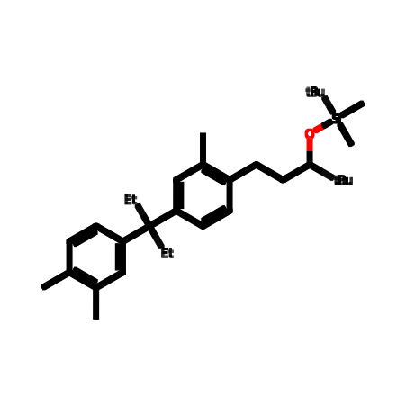 CCC(CC)(c1ccc(C)c(C)c1)c1ccc(CCC(O[Si](C)(C)C(C)(C)C)C(C)(C)C)c(C)c1